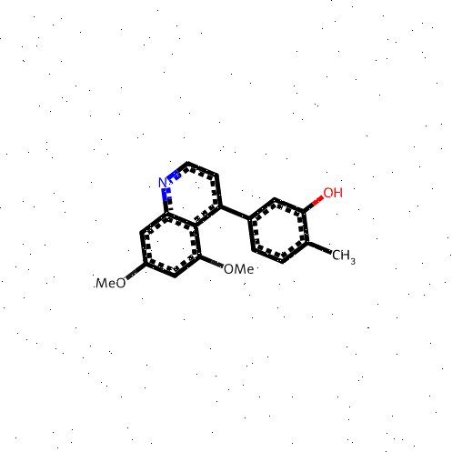 COc1cc(OC)c2c(-c3ccc(C)c(O)c3)ccnc2c1